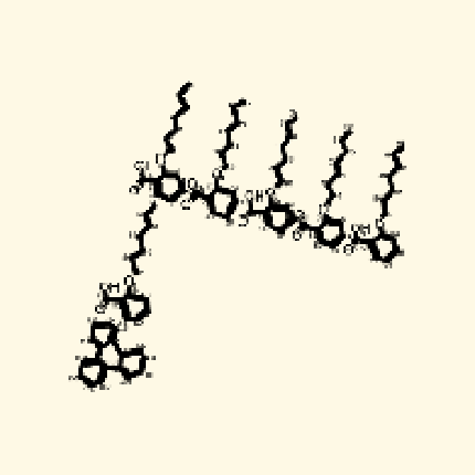 CCCCCCCOc1ccccc1C(=O)O.CCCCCCCOc1ccccc1C(=O)O.CCCCCCCOc1ccccc1C(=O)O.CCCCCCCOc1ccccc1C(=O)O.CCCCCCCOc1ccccc1C(=O)O.CCCCCCCOc1ccccc1C(=O)O.c1ccc2c(c1)c1ccccc1c1ccccc21